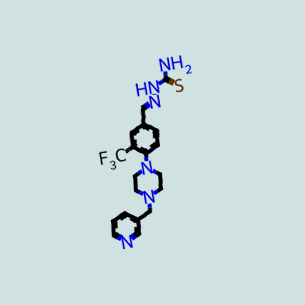 NC(=S)N/N=C/c1ccc(N2CCN(Cc3cccnc3)CC2)c(C(F)(F)F)c1